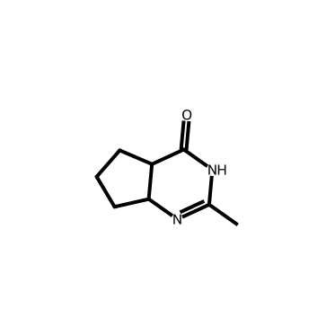 CC1=NC2CCCC2C(=O)N1